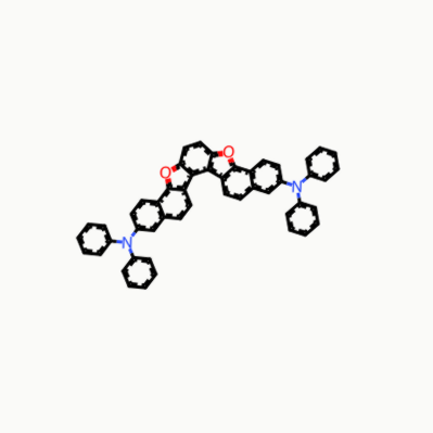 c1ccc(N(c2ccccc2)c2ccc3c(ccc4c3oc3ccc5oc6c7ccc(N(c8ccccc8)c8ccccc8)cc7ccc6c5c34)c2)cc1